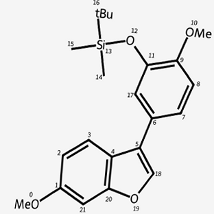 COc1ccc2c(-c3ccc(OC)c(O[Si](C)(C)C(C)(C)C)c3)coc2c1